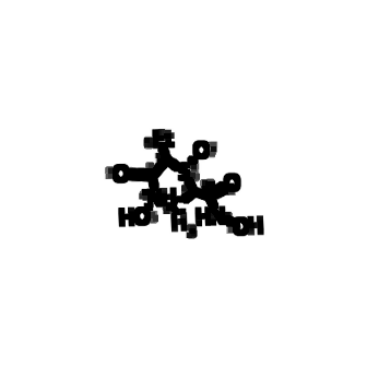 CCC(C(=O)NO)[S+]([O-])C(C)C(=O)NO